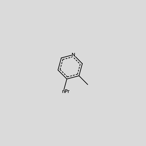 CCCc1ccncc1C